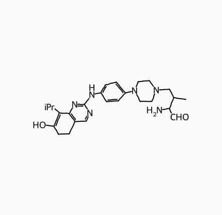 CC(C)C1=C(O)CCc2cnc(Nc3ccc(N4CCN(CC(C)C(N)C=O)CC4)cc3)nc21